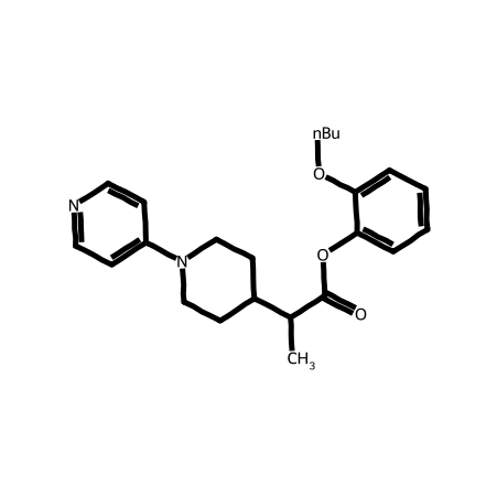 CCCCOc1ccccc1OC(=O)C(C)C1CCN(c2ccncc2)CC1